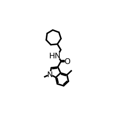 Cc1cccc2c1c(C(=O)NCC1CCCCCC1)cn2C